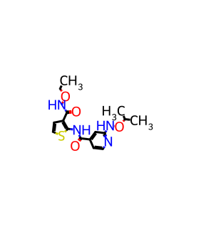 CCONC(=O)c1ccsc1NC(=O)c1ccnc(NOC(C)C)c1